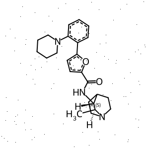 C[C@H]1[C@H](NC(=O)c2ccc(-c3ccccc3N3CCCCC3)o2)C2CCN1CC2